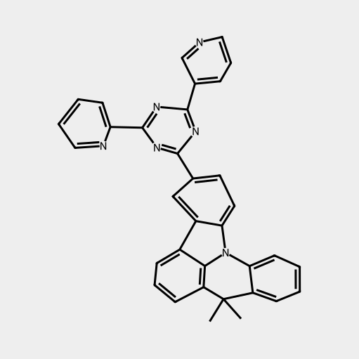 CC1(C)c2ccccc2-n2c3ccc(-c4nc(-c5cccnc5)nc(-c5ccccn5)n4)cc3c3cccc1c32